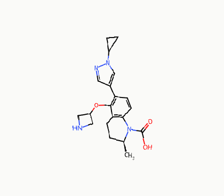 C[C@H]1CCc2c(ccc(-c3cnn(C4CC4)c3)c2OC2CNC2)N1C(=O)O